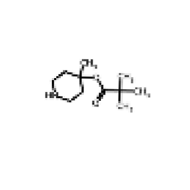 CC1(OC(=O)C(C)(C)C)CCNCC1